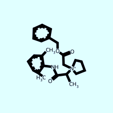 Cc1cccc(C)c1NC(=O)C(C)[N+]1(CC(=O)OCc2ccccc2)CCCC1